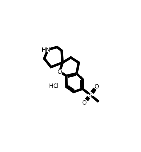 CS(=O)(=O)c1ccc2c(c1)CCC1(CCNCC1)O2.Cl